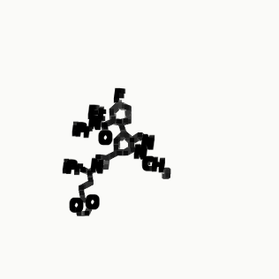 CCN(C(=O)c1cc(F)ccc1-c1cc(C2CN([C@@H](CCC3OCCO3)C(C)C)C2)cc2c1cnn2C)C(C)C